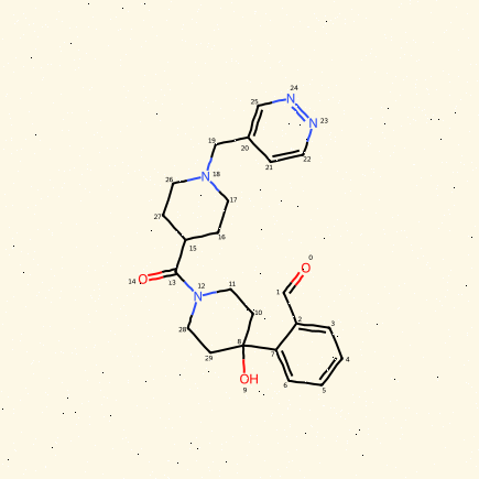 O=Cc1ccccc1C1(O)CCN(C(=O)C2CCN(Cc3ccnnc3)CC2)CC1